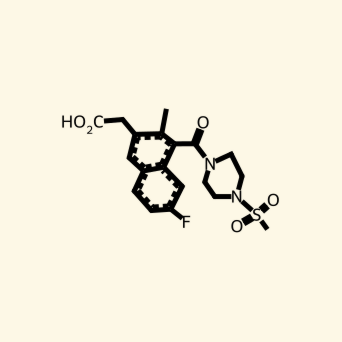 Cc1c(CC(=O)O)cc2ccc(F)cc2c1C(=O)N1CCN(S(C)(=O)=O)CC1